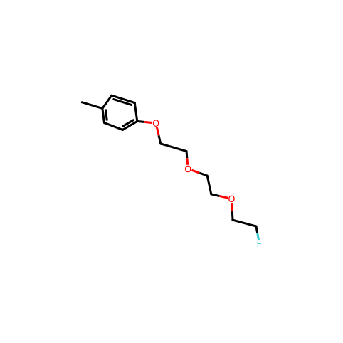 Cc1ccc(OCCOCCOCCF)cc1